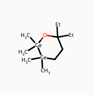 CCC1(CC)C[CH2][Ge]([CH3])([CH3])[Ge]([CH3])([CH3])[O]1